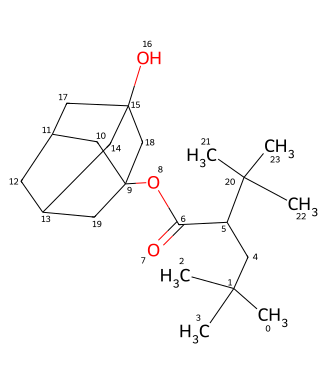 CC(C)(C)CC(C(=O)OC12CC3CC(CC(O)(C3)C1)C2)C(C)(C)C